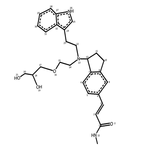 O=C(/C=C/c1ccc2c(c1)CCC2N(CCOCC(O)CO)CCc1c[nH]c2ccccc12)NO